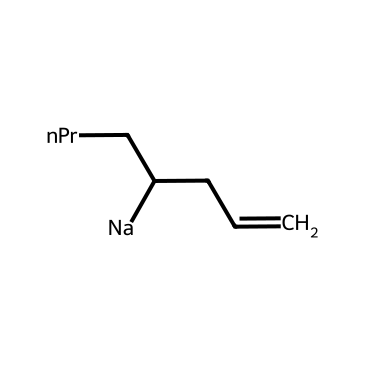 C=CC[CH]([Na])CCCC